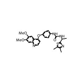 COc1cc2nccc(Oc3ccc(NC(=O)NC(C)c4nc(C)c(C)s4)cc3)c2cc1OC